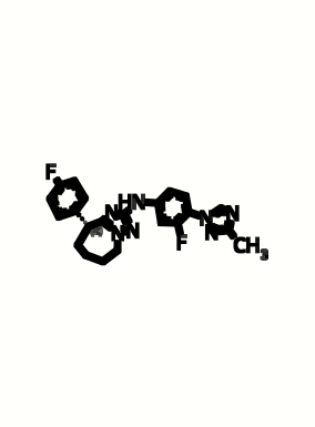 Cc1ncn(-c2ccc(Nc3nc4n(n3)CCCC[C@@H]4c3ccc(F)cc3)cc2F)n1